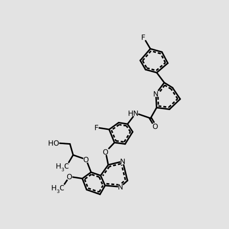 COc1ccc2ncnc(Oc3ccc(NC(=O)c4cccc(-c5ccc(F)cc5)n4)cc3F)c2c1OC(C)CO